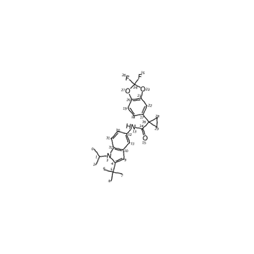 CC(C)n1c(C(C)(C)C)cc2cc(NC(=O)C3(c4ccc5c(c4)OC(F)(F)O5)CC3)ccc21